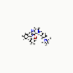 Cc1ccc(C)n1-c1ccc(CN2CCc3nc(C)n(C(c4ccccc4)c4ccccc4)c(=O)c3C2)cc1